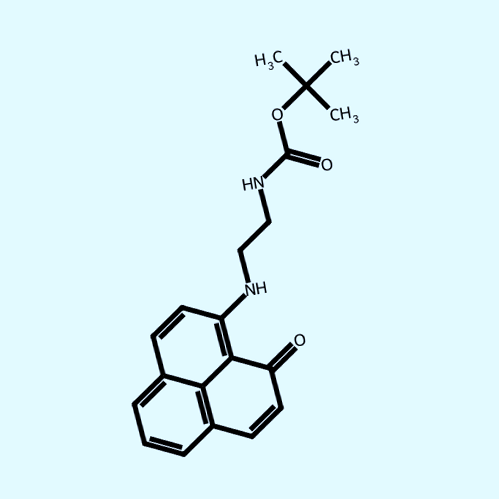 CC(C)(C)OC(=O)NCCNc1ccc2cccc3c2c1C(=O)C=C3